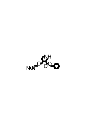 [N-]=[N+]=NCCOCC1CCNCC1C(=O)OCc1ccccc1